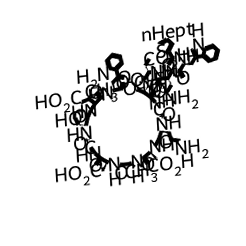 CCCCCCCc1csc(C(=O)N[C@@H](Cc2c[nH]c3ccccc23)C(=O)N[C@H](CC(N)=O)C(=O)N[C@@H](CC(=O)O)C(=O)N[C@@H]2C(=O)NCC(=O)N[C@@H](CCCN)C(=O)N[C@@H](CC(=O)O)C(=O)N[C@H](C)C(=O)N[C@@H](CC(=O)O)C(=O)NCC(=O)N[C@H](CO)C(=O)NC([C@H](C)CC(=O)O)C(=O)N[C@@H](CC(=O)c3ccccc3N)C(=O)O[C@@H]2C)c1